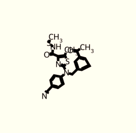 CSNC(=O)c1nc(N(Cc2cccc(C(C)=O)c2)c2ccc(C#N)cc2)sc1C